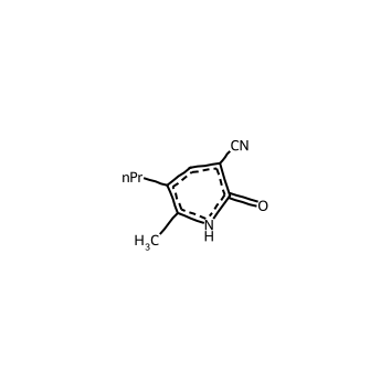 CCCc1cc(C#N)c(=O)[nH]c1C